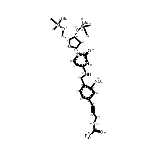 CC(C)(C)[Si](C)(C)OC[C@H]1O[C@@H](n2ccc(NCc3ccc(C#CCNC(=O)C(F)(F)F)cc3[N+](=O)[O-])nc2=O)C[C@H]1O[Si](C)(C)C(C)(C)C